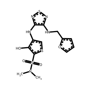 CN(C)S(=O)(=O)c1scc(Nc2nsnc2NCc2ccco2)c1O